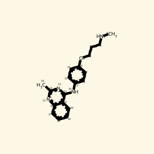 CNCCCOc1ccc(Nc2nc(C)nc3ccccc23)cc1